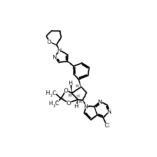 CC1(C)O[C@@H]2[C@H](O1)[C@@H](c1cccc(-c3cnn(C4CCCCO4)c3)c1)C[C@H]2n1ccc2c(Cl)ncnc21